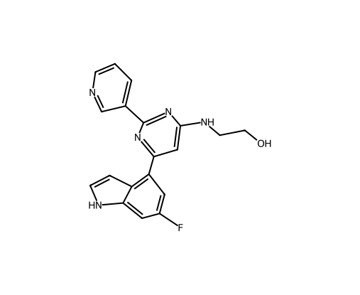 OCCNc1cc(-c2cc(F)cc3[nH]ccc23)nc(-c2cccnc2)n1